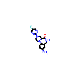 Nc1ccc2c(c1)CNC(=O)C1CN(c3ncc(F)cn3)CCN21